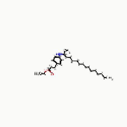 CCCCCCCCCCCCCCC(C)Nc1ccc(CCC(=O)OCC)cc1